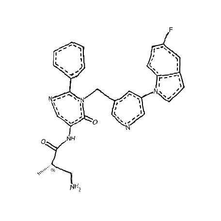 C[C@@H](CN)C(=O)Nc1cnc(-c2ccccc2)n(Cc2cncc(-n3ccc4cc(F)ccc43)c2)c1=O